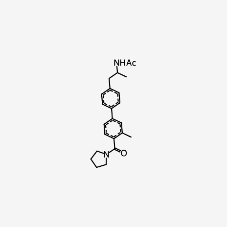 CC(=O)NC(C)Cc1ccc(-c2ccc(C(=O)N3CCCC3)c(C)c2)cc1